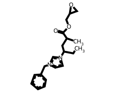 CCC(CC(C)C(=O)OCC1CO1)n1cc[n+](Cc2ccccc2)c1